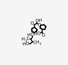 CC(CO)C(C)CO.O=C(O)C(=O)c1ccccc1.O=C(O)c1ccccc1